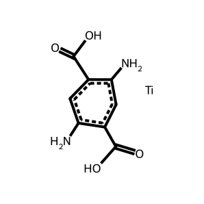 Nc1cc(C(=O)O)c(N)cc1C(=O)O.[Ti]